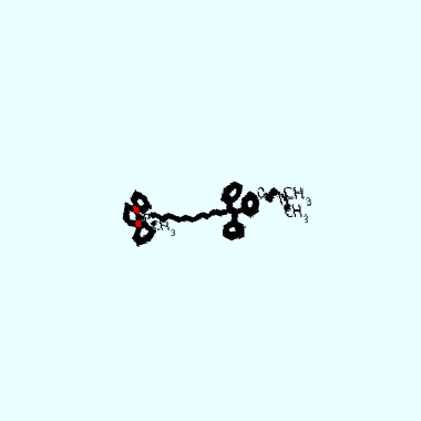 CN(C)CCOc1ccc(/C(=C(/CCCCCCCCCCP(C)(c2ccccc2)(c2ccccc2)c2ccccc2)c2ccccc2)c2ccccc2)cc1